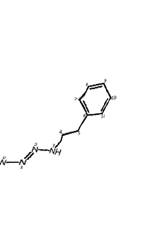 NN=NNCCc1ccccc1